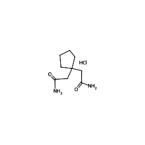 Cl.NC(=O)CC1(CC(N)=O)CCCC1